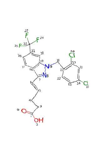 O=C(O)CCC=Cc1nn(Cc2ccc(Cl)cc2Cl)c2cc(C(F)(F)F)ccc12